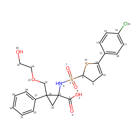 O=C(O)C1(NS(=O)(=O)C2CC=C(c3ccc(Cl)cc3)S2)CC1(COCCO)c1ccccc1